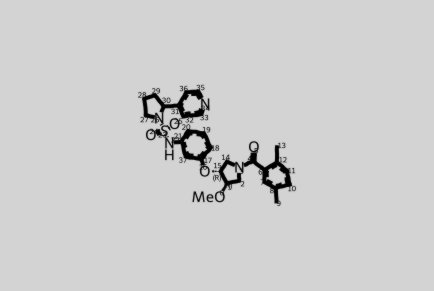 CO[C@@H]1CN(C(=O)c2cc(C)ccc2C)C[C@H]1Oc1cccc(NS(=O)(=O)N2CCCC2c2ccncc2)c1